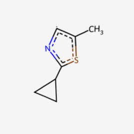 Cc1[c]nc(C2CC2)s1